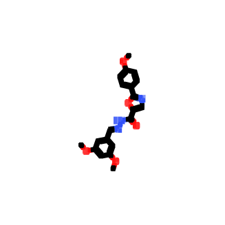 COc1ccc(-c2ncc(C(=O)NN=Cc3cc(OC)cc(OC)c3)o2)cc1